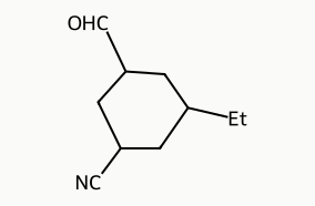 CCC1CC(C#N)CC(C=O)C1